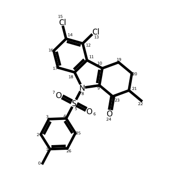 Cc1ccc(S(=O)(=O)n2c3c(c4c(Cl)c(Cl)ccc42)CCC(C)C3=O)cc1